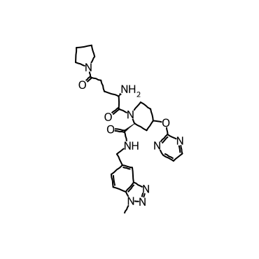 Cn1nnc2cc(CNC(=O)[C@@H]3CC(Oc4ncccn4)CCN3C(=O)[C@H](N)CCC(=O)N3CCCC3)ccc21